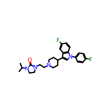 CC(C)N1CCN(CCN2CCC(c3cn(-c4ccc(F)cc4)c4ccc(F)cc34)CC2)C1=O